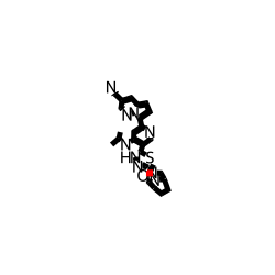 CC(=O)N1C2CCC1CN(c1nnc(-c3cnc(-c4ccc5cc(C#N)cnn45)cc3NC(C)C)s1)C2